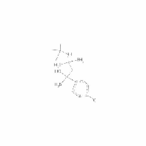 BC(B)(CC(B)(O)c1ccc(Cl)cc1)NC(C)(C)C